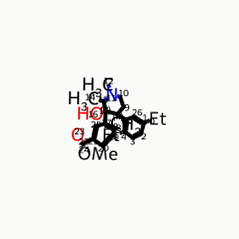 CCc1ccc(CC)c([C@@]2(C)CCN(C)C(C)[C@@]2(O)c2cccc(C(=O)OC)c2)c1